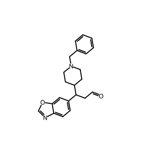 O=CCC(c1ccc2ncoc2c1)C1CCN(Cc2ccccc2)CC1